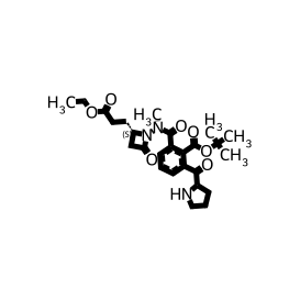 CCOC(=O)CC[C@H]1CC(=O)N1N(C)C(=O)c1cccc(C(=O)C2CCCN2)c1C(=O)OC(C)(C)C